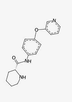 O=C(Nc1ccc(Oc2cccnc2)cc1)[C@H]1CCCCN1